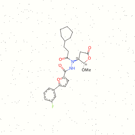 CO[C@H]1OC(=O)C[C@@H]1N(NC(=O)c1ccc(-c2cccc(F)c2)o1)C(=O)CCC1CCCCC1